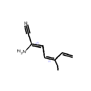 C=C/C(C)=C\C=C(/N)C#N